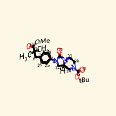 COC(=O)C(C)(C)Cc1ccc(N2C[C@@H]3CN(C(=O)OC(C)(C)C)CCN3C2=O)cc1